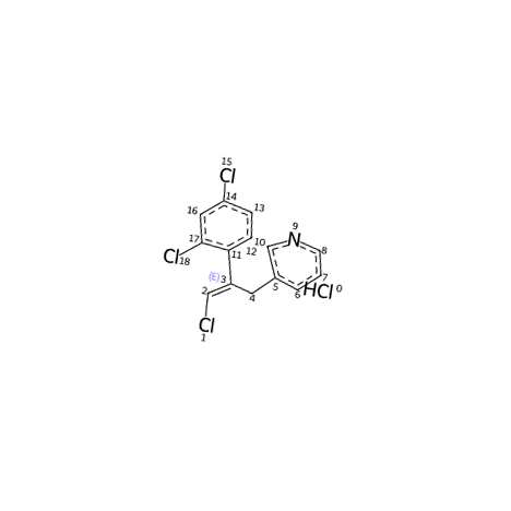 Cl.Cl/C=C(\Cc1cccnc1)c1ccc(Cl)cc1Cl